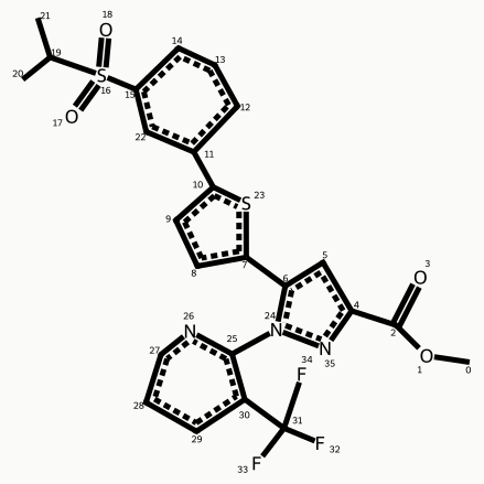 COC(=O)c1cc(-c2ccc(-c3cccc(S(=O)(=O)C(C)C)c3)s2)n(-c2ncccc2C(F)(F)F)n1